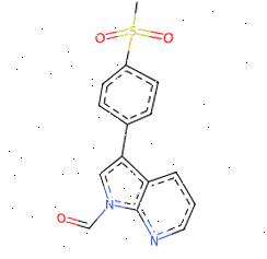 CS(=O)(=O)c1ccc(-c2cn(C=O)c3ncccc23)cc1